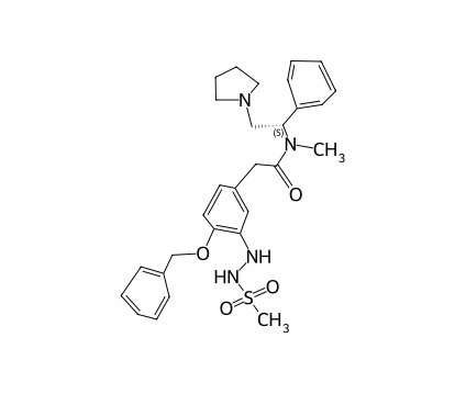 CN(C(=O)Cc1ccc(OCc2ccccc2)c(NNS(C)(=O)=O)c1)[C@H](CN1CCCC1)c1ccccc1